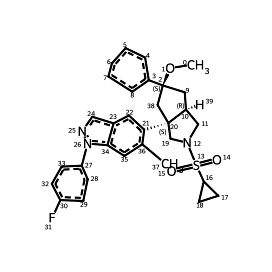 CO[C@@]1(c2ccccc2)C[C@H]2CN(S(=O)(=O)C3CC3)C[C@@]2(c2cc3cnn(-c4ccc(F)cc4)c3cc2C)C1